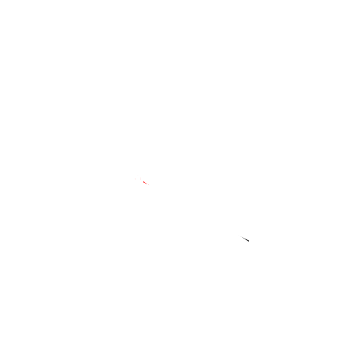 CCCCCCCCCO[C@H]1CC[C@H]([C@H]2CC[C@H](CCCC)CC2)CC1